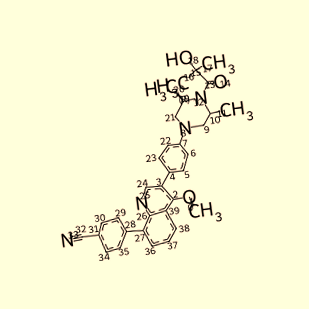 COc1c(-c2ccc(N3CC(C)N(C(=O)C(C)(C)O)[C@H](C)C3)cc2)cnc2c(-c3ccc(C#N)cc3)cccc12